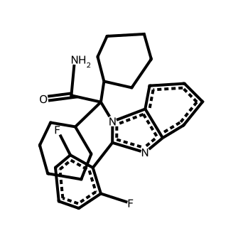 NC(=O)C(C1CCCCC1)(C1CCCCC1)n1c(-c2c(F)cccc2F)nc2ccccc21